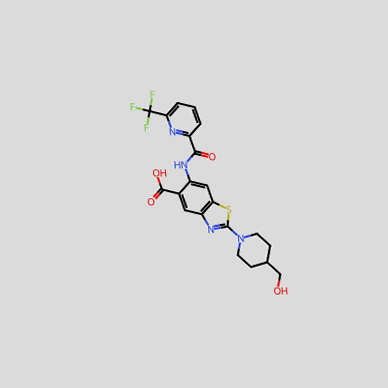 O=C(Nc1cc2sc(N3CCC(CO)CC3)nc2cc1C(=O)O)c1cccc(C(F)(F)F)n1